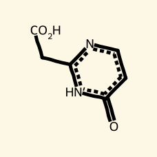 O=C(O)Cc1nccc(=O)[nH]1